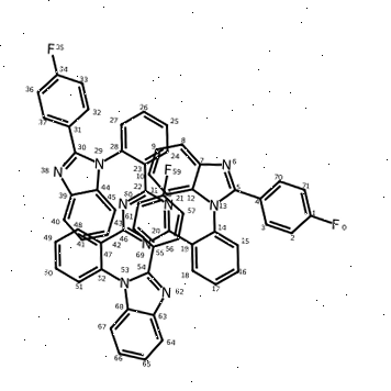 Fc1ccc(-c2nc3ccccc3n2-c2ccccc2-c2nc(-c3ccccc3-n3c(-c4ccc(F)cc4)nc4ccccc43)nc(-c3ccccc3-n3c(-c4ccc(F)cc4)nc4ccccc43)n2)cc1